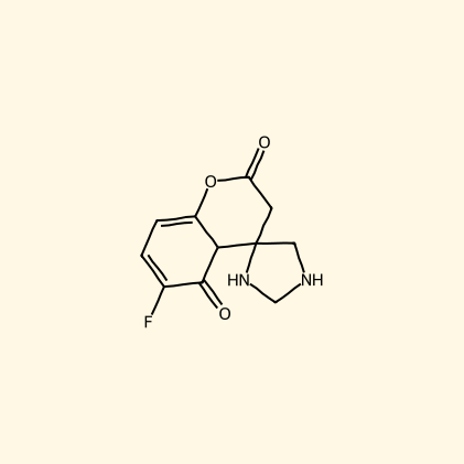 O=C1CC2(CNCN2)C2C(=O)C(F)=CC=C2O1